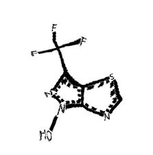 On1nc(C(F)(F)F)c2scnc21